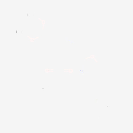 CCS(=O)(=O)c1cc(C(OC)OC)cnc1-c1nc2cc(SC(F)(F)F)ccc2o1